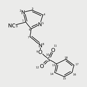 N#Cc1nccnc1/C=N/OS(=O)(=O)c1ccccc1